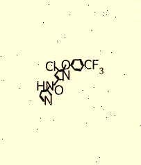 O=C(Nc1cccnc1)c1cnc(Oc2ccc(C(F)(F)F)cc2)c(Cl)c1